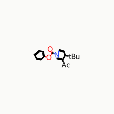 CC(=O)C1=CN(C(=O)Oc2ccccc2)C=CC1C(C)(C)C